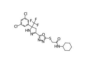 O=C(CSc1nnc(C2=NNC(c3cc(Cl)cc(Cl)c3)(C(F)(F)F)C2)o1)NC1CCCCC1